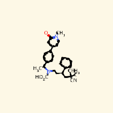 C[C@@H](c1ccc(-c2ccn(C)c(=O)c2)cc1)N(CC[C@H](CC(C)(C)C#N)c1ccccc1)C(=O)O